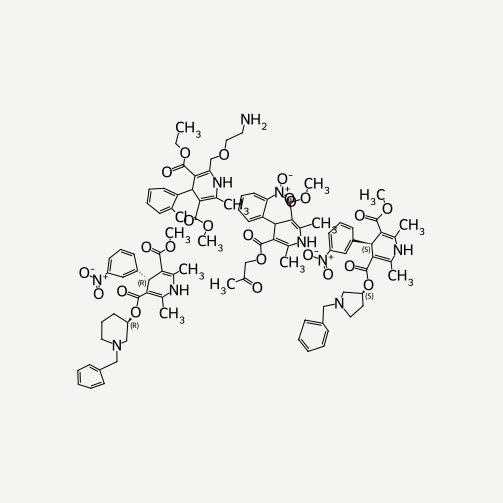 CCOC(=O)C1=C(COCCN)NC(C)=C(C(=O)OC)C1c1ccccc1Cl.COC(=O)C1=C(C)NC(C)=C(C(=O)OCC(C)=O)C1c1ccccc1[N+](=O)[O-].COC(=O)C1=C(C)NC(C)=C(C(=O)O[C@@H]2CCCN(Cc3ccccc3)C2)[C@@H]1c1cccc([N+](=O)[O-])c1.COC(=O)C1=C(C)NC(C)=C(C(=O)O[C@H]2CCN(Cc3ccccc3)C2)[C@H]1c1cccc([N+](=O)[O-])c1